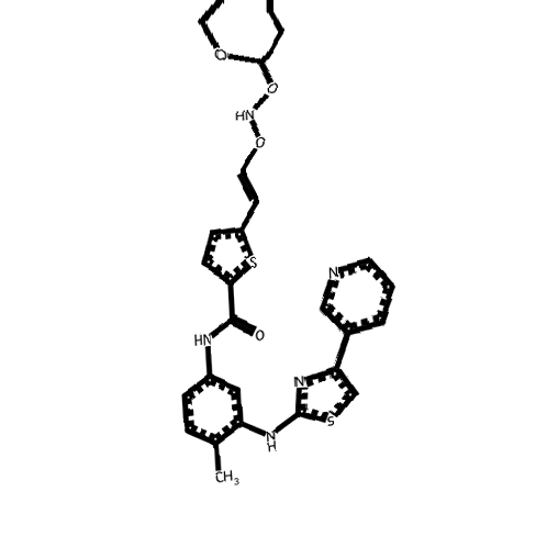 Cc1ccc(NC(=O)c2ccc(/C=C/ONOC3CCCCO3)s2)cc1Nc1nc(-c2cccnc2)cs1